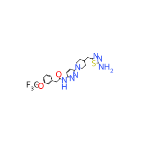 Nc1nnc(CC2CCN(c3ccc(NC(=O)Cc4cccc(OC(F)(F)F)c4)nn3)CC2)s1